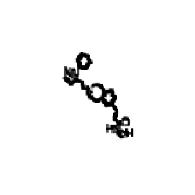 O=C(C=Cc1ccc2c(c1)CCN(CCc1ccnn1-c1ccccc1)CC2)NO